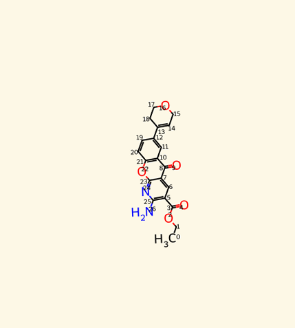 CCOC(=O)c1cc2c(=O)c3cc(C4=CCOCC4)ccc3oc2nc1N